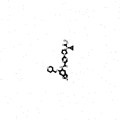 Cn1cc2cc(NC(=O)c3cnc(N4CC[C@@H](N(C(=O)OC(C)(C)C)C5CC5)C4)cn3)c(OCC3CCOCC3)cc2n1